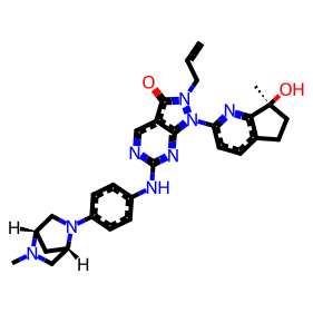 C=CCn1c(=O)c2cnc(Nc3ccc(N4C[C@@H]5C[C@H]4CN5C)cc3)nc2n1-c1ccc2c(n1)[C@@](C)(O)CC2